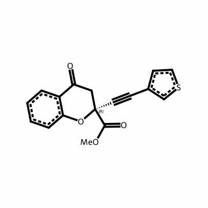 COC(=O)[C@]1(C#Cc2ccsc2)CC(=O)c2ccccc2O1